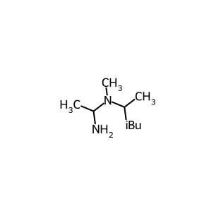 CCC(C)C(C)N(C)C(C)N